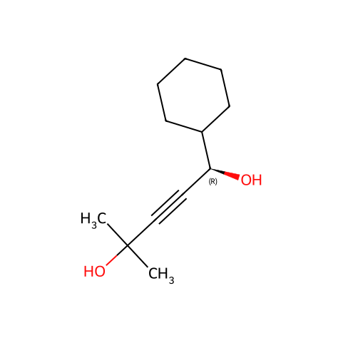 CC(C)(O)C#C[C@H](O)C1CCCCC1